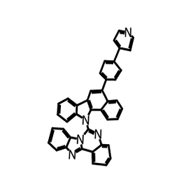 c1ccc2c(c1)nc(-n1c3ccccc3c3cc(-c4ccc(-c5ccncc5)cc4)c4ccccc4c31)n1c3ccccc3nc21